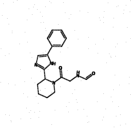 O=CNCC(=O)N1CCCCC1c1ncc(-c2ccccc2)[nH]1